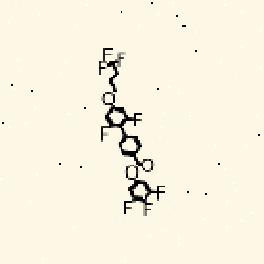 O=C(Oc1cc(F)c(F)c(F)c1)c1ccc(-c2c(F)cc(OCCCC(F)(F)F)cc2F)cc1